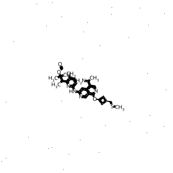 CSC[C@H]1C[C@@H](Oc2ncc(C(C)N)c3cc(Nc4ccc(C)c(C(C)C(C)(C)OC=O)n4)ncc23)C1